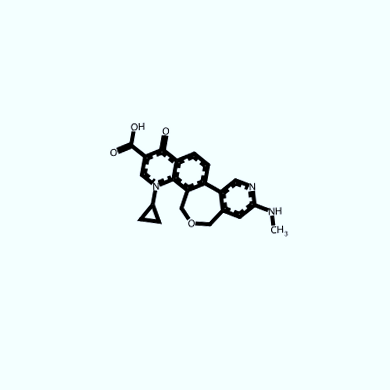 CNc1cc2c(cn1)-c1ccc3c(=O)c(C(=O)O)cn(C4CC4)c3c1COC2